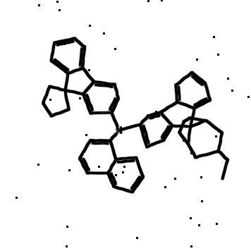 CCC1CC2CCCC(C1)C21c2ccccc2-c2cc(N(c3ccc4c(c3)C3(CCCC3)c3ccccc3-4)c3cccc4ccccc34)ccc21